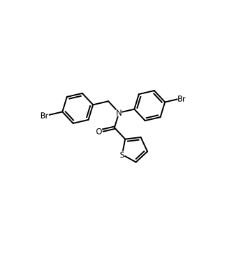 O=C(c1cccs1)N(Cc1ccc(Br)cc1)c1ccc(Br)cc1